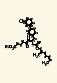 C=C(CC/C=C\C)COC(=O)C[C@@H](CC1=CC=C(C2=CCCC(Cl)=C2)CC1)NC(=O)CCCC(=O)OCC